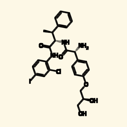 C[C@@H](c1ccccc1)[C@H](NC(=O)[C@H](N)c1ccc(OC[C@@H](O)CO)cc1)C(=O)Nc1ccc(I)cc1Cl